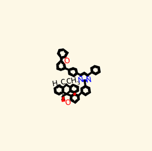 CC1(C)c2ccccc2C2(c3ccccc3Oc3ccc(-c4cccc(-c5nc(-c6ccccc6)cc(-c6ccc(-c7cccc8c7oc7ccccc78)cc6)n5)c4)cc32)c2ccccc21